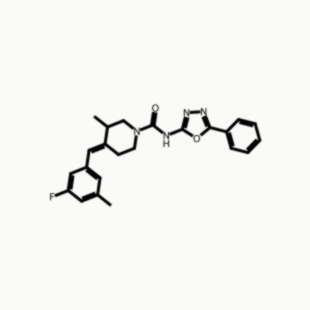 Cc1cc(F)cc(C=C2CCN(C(=O)Nc3nnc(-c4ccccc4)o3)CC2C)c1